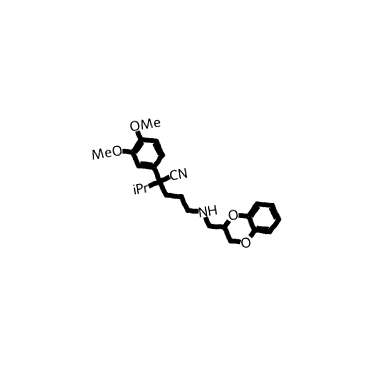 COc1ccc(C(C#N)(CCCNCC2COc3ccccc3O2)C(C)C)cc1OC